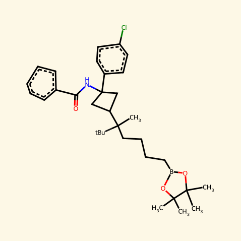 CC(C)(C)C(C)(CCCCB1OC(C)(C)C(C)(C)O1)C1CC(NC(=O)c2ccccc2)(c2ccc(Cl)cc2)C1